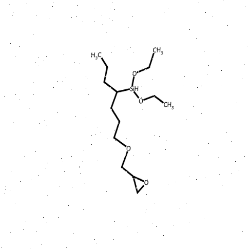 CCCC(CCCOCC1CO1)[SiH](OCC)OCC